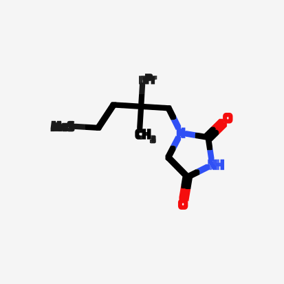 CCCC(C)(CCSC)CN1CC(=O)NC1=O